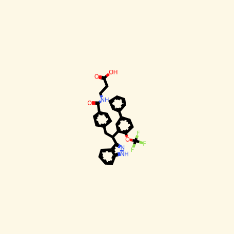 O=C(O)CCNC(=O)c1ccc(CC(c2cc(-c3ccccc3)ccc2OC(F)(F)F)c2n[nH]c3ccccc23)cc1